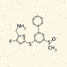 C[S+]([O-])c1cc(Sc2cc(F)c(CN)s2)cc(-c2ccccc2)c1